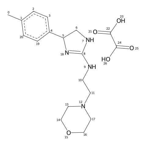 Cc1ccc(C2CNC(NCCN3CCOCC3)=N2)cc1.O=C(O)C(=O)O